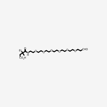 CCC(C)(CC(=O)O)C(=O)NCCOCCOCCOCCOCCOCCOCCC=O